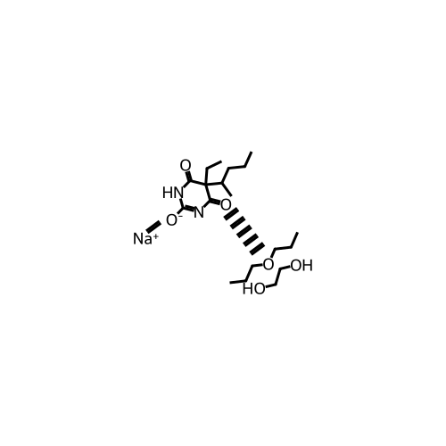 C=C.C=C.C=C.C=C.C=C.C=C.CCCC(C)C1(CC)C(=O)N=C([O-])NC1=O.CCCOCCC.OCCO.[Na+]